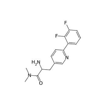 CN(C)C(=O)C(N)Cc1ccc(-c2cccc(F)c2F)nc1